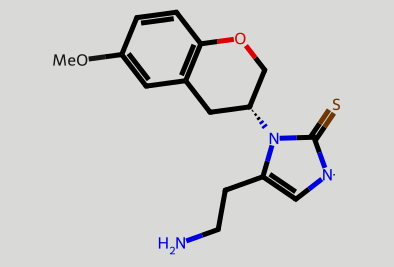 COc1ccc2c(c1)C[C@@H](N1C(=S)[N]C=C1CCN)CO2